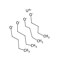 CCCC[O-].CCCC[O-].CCCC[O-].CCCC[O-].[U+4]